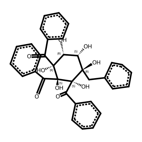 O=C(c1ccccc1)[C@@]1(O)[C@](O)(C(=O)c2ccccc2)[C@@](O)(C(=O)c2ccccc2)[C@H](O)[C@H](O)[C@]1(O)Cc1ccccc1